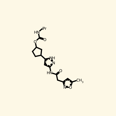 Cc1cc(CC(=O)Nc2cc(C3CCC(OC(=O)NC(C)C)C3)[nH]n2)no1